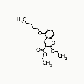 CCCCCOc1ccccc1C=C(C(=O)OCC)C(=O)OCC